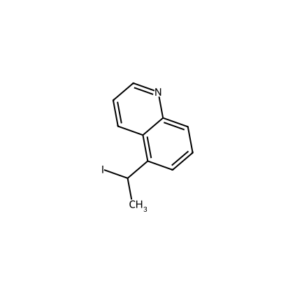 CC(I)c1cccc2ncccc12